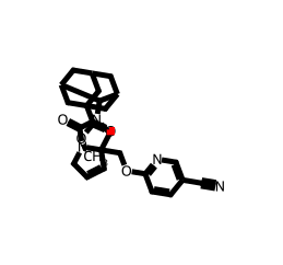 COC(=O)C12CC3CC(C1)C(N1CC4(COc5ccc(C#N)cn5)C=CCN4C1=O)C(C3)C2